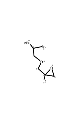 CCCCC(CC)COCC1(CC)CO1